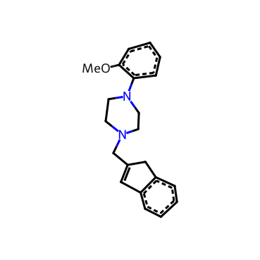 COc1ccccc1N1CCN(CC2=Cc3ccccc3C2)CC1